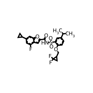 CC(C)c1ccc(OCC2CC2(F)F)c(S(=O)(=O)NC(=O)c2cc3c(F)cc(C4CC4)cc3o2)c1